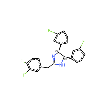 Fc1cccc([C@H]2NC(Cc3ccc(F)c(F)c3)=N[C@H]2c2cccc(F)c2)c1